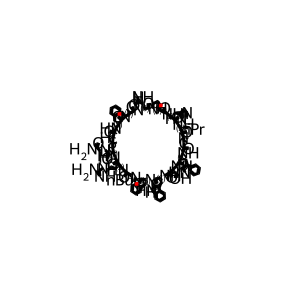 CCCC[C@H]1C(=O)N[C@@H](CCCNC(=N)N)C(=O)N[C@H](C(=O)NCC(N)=O)CSCC(=O)N[C@@H](Cc2ccccc2)C(=O)N(C)[C@@H](C)C(=O)N[C@@H](CC(N)=O)C(=O)N2CCC[C@H]2C(=O)N[C@@H](Cc2cnc[nH]2)C(=O)N[C@@H](CC(C)C)C(=O)N(C)CC(=O)N[C@@H](Cc2c[nH]c3ccccc23)C(=O)N[C@@H](CO)C(=O)N[C@@H](Cc2c[nH]c3ccccc23)C(=O)N[C@@H](Cc2ccccc2)C(=O)N1C